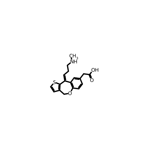 CNCCC=C1c2cc(CC(=O)O)ccc2OCc2ccsc21